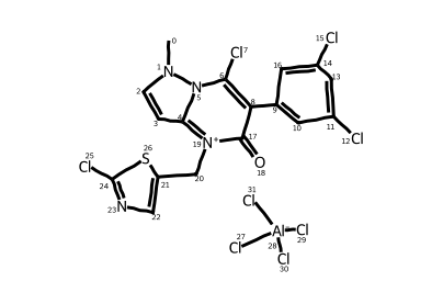 Cn1ccc2n1c(Cl)c(-c1cc(Cl)cc(Cl)c1)c(=O)[n+]2Cc1cnc(Cl)s1.[Cl][Al-]([Cl])([Cl])[Cl]